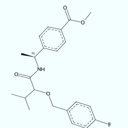 COC(=O)c1ccc([C@H](C)NC(=O)C(OCc2ccc(F)cc2)C(C)C)cc1